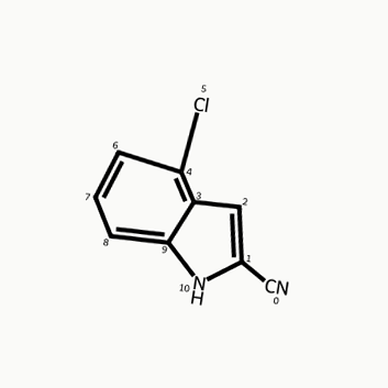 N#Cc1cc2c(Cl)cccc2[nH]1